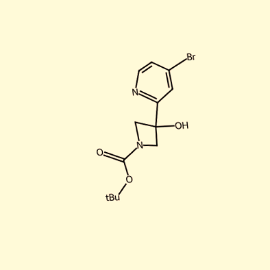 CC(C)(C)OC(=O)N1CC(O)(c2cc(Br)ccn2)C1